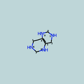 C1NCC2=C(CNCN2)N1